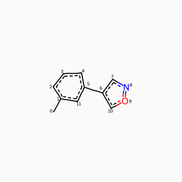 Cc1cccc(-c2cnoc2)c1